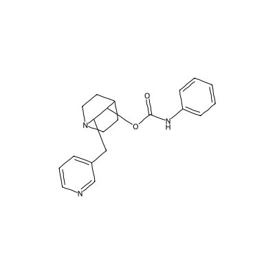 O=C(Nc1ccccc1)OC1C2CCN(CC2)C1Cc1cccnc1